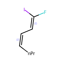 CCC/C=C\C=C(\F)I